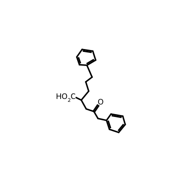 O=C(Cc1ccccc1)CC(CCCc1ccccc1)C(=O)O